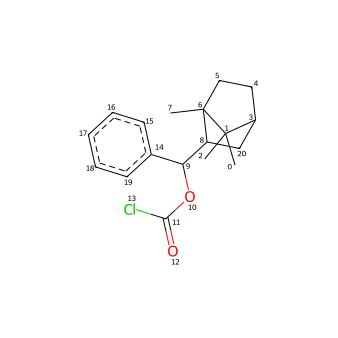 CC1(C)C2CCC1(C)C(C(OC(=O)Cl)c1ccccc1)C2